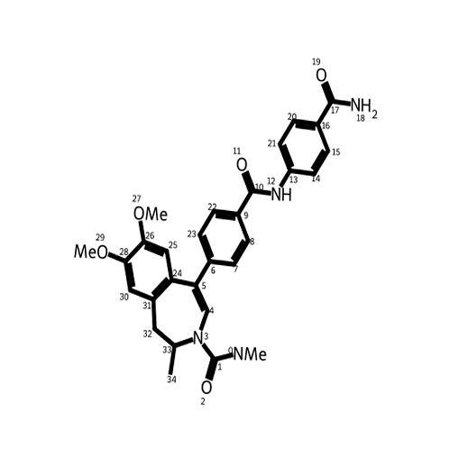 CNC(=O)N1C=C(c2ccc(C(=O)Nc3ccc(C(N)=O)cc3)cc2)c2cc(OC)c(OC)cc2CC1C